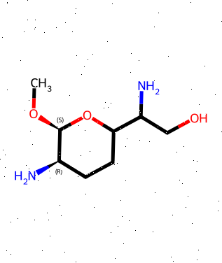 CO[C@H]1OC(C(N)CO)CC[C@H]1N